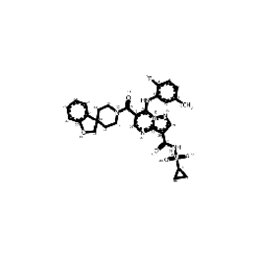 Cc1ccc(F)c(Nc2c(C(=O)N3CCC4(CC3)COc3ccccc34)cnc3c(C(=O)NS(=O)(=O)C4CC4)cnn23)c1